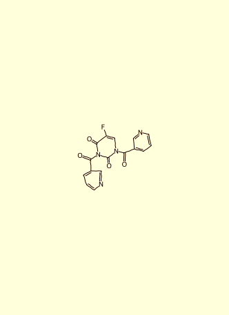 O=C(c1cccnc1)n1cc(F)c(=O)n(C(=O)c2cccnc2)c1=O